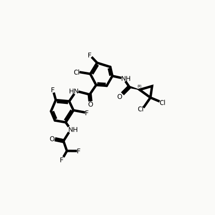 O=C(Nc1c(F)ccc(NC(=O)C(F)F)c1F)c1cc(NC(=O)[C@H]2CC2(Cl)Cl)cc(F)c1Cl